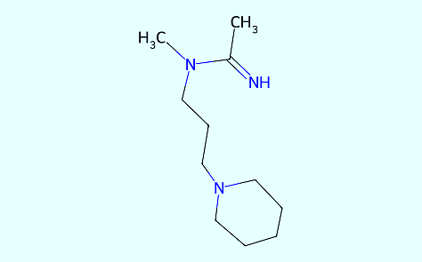 CC(=N)N(C)CCCN1CCCCC1